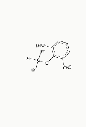 COc1cccc(C=O)c1O[Si](C(C)C)(C(C)C)C(C)C